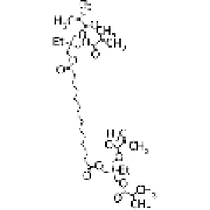 C=C(C)C(=O)OCC(CC)(COC(=O)CCCCCCCCCCCCC(=O)OCC(CC)(COC(=O)C(=C)C)COC(=O)C(=C)C)COC(=O)C(=C)C